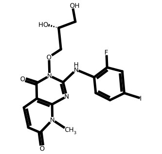 Cn1c(=O)ccc2c(=O)n(OC[C@H](O)CO)c(Nc3ccc(I)cc3F)nc21